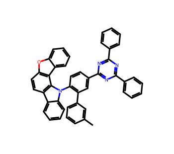 Cc1cccc(-c2cc(-c3nc(-c4ccccc4)nc(-c4ccccc4)n3)ccc2-n2c3ccccc3c3ccc4oc5ccccc5c4c32)c1